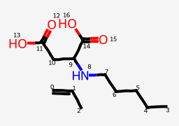 C=CC.CCCCCNC(CC(=O)O)C(=O)O